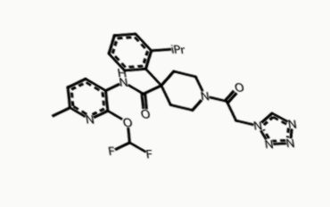 Cc1ccc(NC(=O)C2(c3ccccc3C(C)C)CCN(C(=O)Cn3cnnn3)CC2)c(OC(F)F)n1